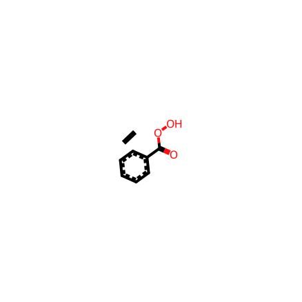 C=C.O=C(OO)c1ccccc1